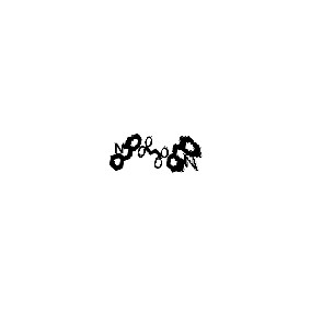 O=C(CCC(=O)Oc1cccc2nc3ccccc3cc12)Oc1cccc2nc3ccccc3cc12